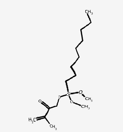 C=C(C)C(=O)CO[Si](CCCCCCCCC)(OC)OC